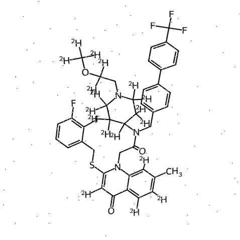 [2H]c1c(C)c([2H])c2c(c1[2H])c(=O)c([2H])c(SCc1cccc(F)c1F)n2CC(=O)N(Cc1ccc(-c2ccc(C(F)(F)F)cc2)cc1)C1([2H])C([2H])([2H])C([2H])([2H])N(CC([2H])([2H])OC([2H])([2H])[2H])C([2H])([2H])C1([2H])[2H]